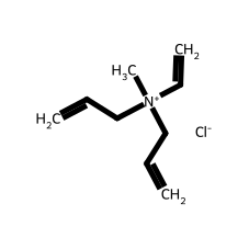 C=CC[N+](C)(C=C)CC=C.[Cl-]